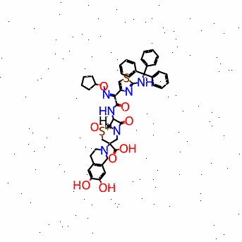 O=C(NC1C(=O)N2CC(C(=O)O)(N3CCc4cc(O)c(O)cc4C3)C[S+]([O-])[C@H]12)C(=NOC1CCCC1)c1csc(NC(c2ccccc2)(c2ccccc2)c2ccccc2)n1